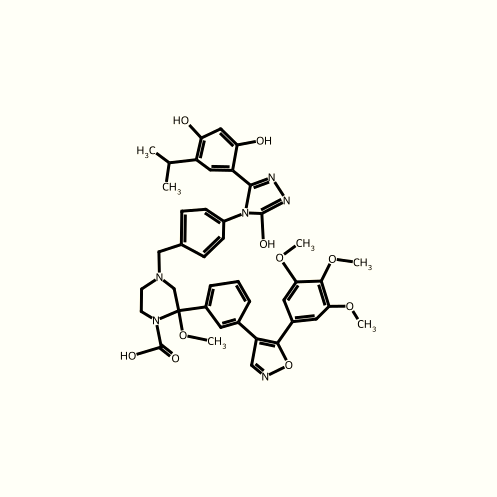 COc1cc(-c2oncc2-c2cccc(C3(OC)CN(Cc4ccc(-n5c(O)nnc5-c5cc(C(C)C)c(O)cc5O)cc4)CCN3C(=O)O)c2)cc(OC)c1OC